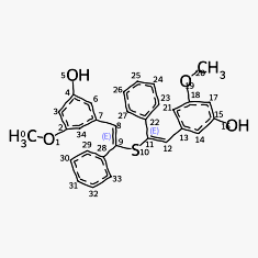 COc1cc(O)cc(/C=C(/S/C(=C/c2cc(O)cc(OC)c2)c2ccccc2)c2ccccc2)c1